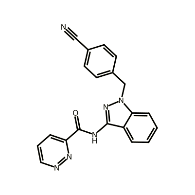 N#Cc1ccc(Cn2nc(NC(=O)c3cccnn3)c3ccccc32)cc1